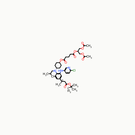 CC(=O)OCC(COC(C)=O)OC(=O)CCCC(=O)O[C@H]1CC[C@H](N(CC(C)C)c2ccc([C@H](C)CC(=O)OC(C)(C)C)cc2Nc2ccc(Cl)nc2)CC1